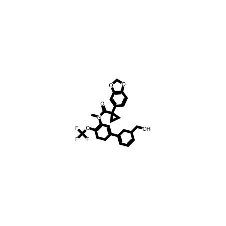 CN(C(=O)C1(c2ccc3c(c2)OCO3)CC1)C1=C(OC(F)(F)F)CCC(C2=CC=CC(CO)C2)=C1